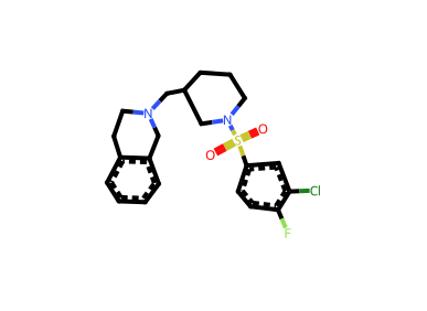 O=S(=O)(c1ccc(F)c(Cl)c1)N1CCCC(CN2CCc3ccccc3C2)C1